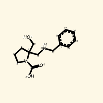 O=C(O)N1CCCC1(CO)CNCc1ccccc1